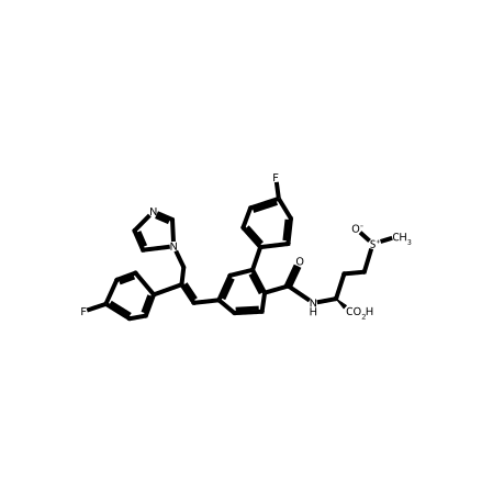 C[S+]([O-])CC[C@H](NC(=O)c1ccc(C=C(Cn2ccnc2)c2ccc(F)cc2)cc1-c1ccc(F)cc1)C(=O)O